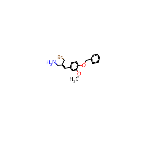 COc1cc(C=C(CN)CBr)ccc1OCc1ccccc1